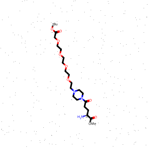 COC(=O)[C@@H](N)CCC(=O)N1CCN(CCOCCOCCOCCOCC(=O)OC(C)(C)C)CC1